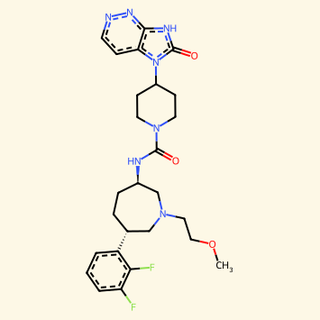 COCCN1C[C@H](NC(=O)N2CCC(n3c(=O)[nH]c4nnccc43)CC2)CC[C@@H](c2cccc(F)c2F)C1